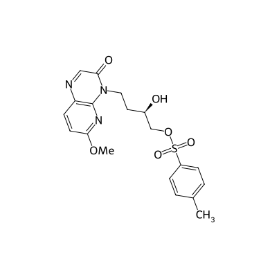 COc1ccc2ncc(=O)n(CC[C@@H](O)COS(=O)(=O)c3ccc(C)cc3)c2n1